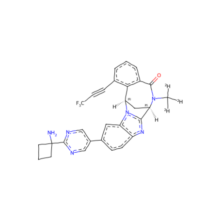 [2H]C([2H])([2H])N1C(=O)c2cccc(C#CC(F)(F)F)c2[C@H]2C[C@@H]1c1nc3ccc(-c4cnc(C5(N)CCC5)nc4)cc3n12